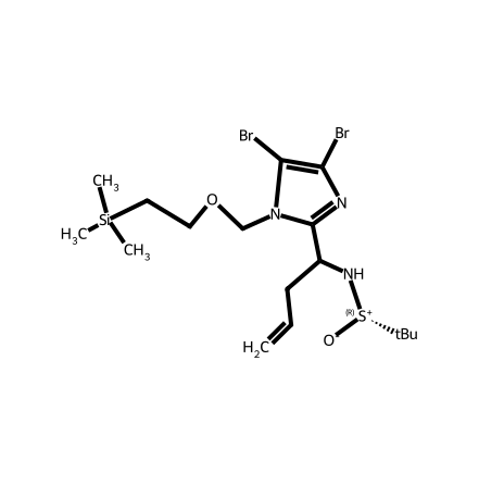 C=CCC(N[S@@+]([O-])C(C)(C)C)c1nc(Br)c(Br)n1COCC[Si](C)(C)C